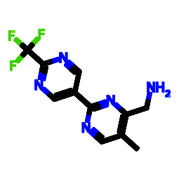 Cc1cnc(-c2cnc(C(F)(F)F)nc2)nc1CN